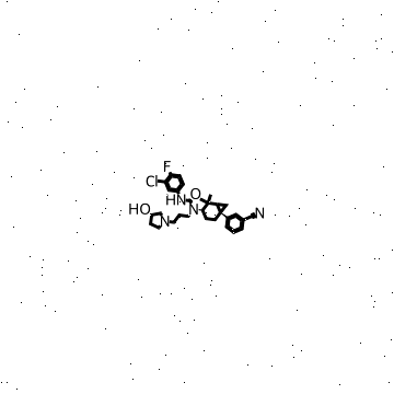 CC1(C)C2C[C@]2(c2cccc(C#N)c2)CC[C@@H]1N(CCCN1CC[C@H](O)C1)C(=O)Nc1ccc(F)c(Cl)c1